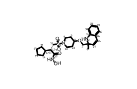 CC1(COC2CCN(S(=O)(=O)C[C@H](C(=O)NO)C3CCCC3)CC2)C=Cc2ccccc2N1